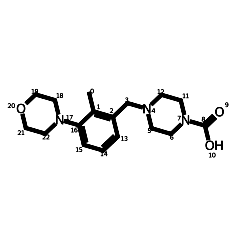 Cc1c(CN2CCN(C(=O)O)CC2)cccc1N1CCOCC1